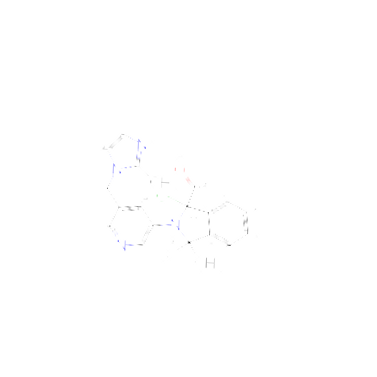 Cc1nccn1Cc1cncc(N2C(C)(C)c3ccccc3C2(Cl)C=O)c1